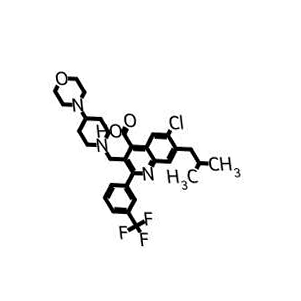 CC(C)Cc1cc2nc(-c3cccc(C(F)(F)F)c3)c(CN3CCC(N4CCOCC4)CC3)c(C(=O)O)c2cc1Cl